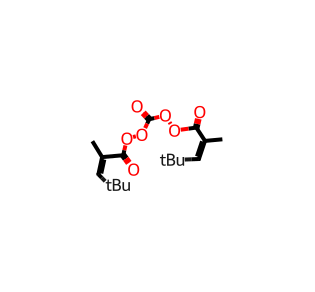 C/C(=C/C(C)(C)C)C(=O)OOC(=O)OOC(=O)/C(C)=C\C(C)(C)C